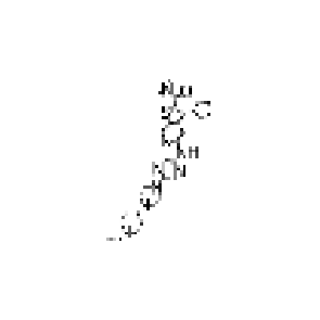 CCN1CCC(N2CCN(c3cnc(Nc4cc5c(C6CCCC6)c(C(=O)N(C)C)sc5cn4)cn3)CC2)CC1